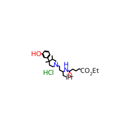 CCOC(=O)CCCC(=O)NC(CCN1CCC(C)(c2cccc(O)c2)C(C)C1)CC(C)C.Cl